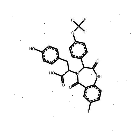 O=C(O)C(Cc1ccc(O)cc1)N1C(=O)c2cc(I)ccc2NC(=O)C1c1ccc(OC(F)(F)F)cc1